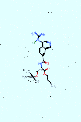 CCCCOC(=O)[C@H](COC(C)(C)C)NC(=O)c1ccc2c(N(Cl)C(=N)N)cncc2c1